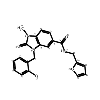 Cn1c(=O)n(Cc2ccccc2Cl)c2cc(C(=O)NCc3ccco3)ccc21